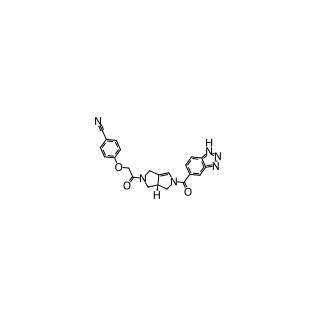 N#Cc1ccc(OCC(=O)N2CC3=CN(C(=O)c4ccc5[nH]nnc5c4)C[C@@H]3C2)cc1